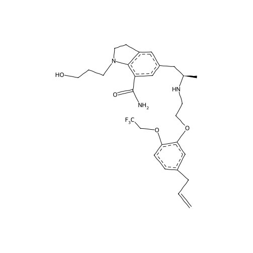 C=CCc1ccc(OCC(F)(F)F)c(OCCN[C@H](C)Cc2cc3c(c(C(N)=O)c2)N(CCCO)CC3)c1